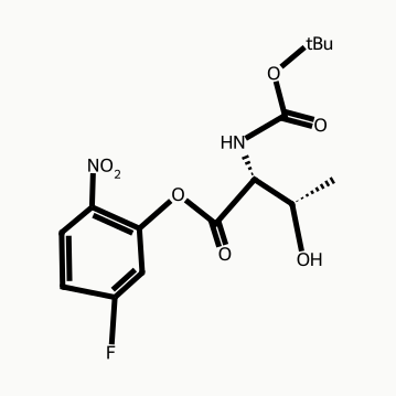 C[C@H](O)[C@@H](NC(=O)OC(C)(C)C)C(=O)Oc1cc(F)ccc1[N+](=O)[O-]